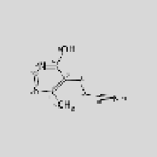 Cc1n[c]nc(O)c1CCC#N